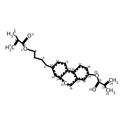 C=C(C)C(=O)OCCCCc1ccc2c(ccc3cc(OC(=O)C(=C)C)ccc32)c1